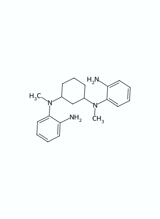 CN(c1ccccc1N)C1CCCC(N(C)c2ccccc2N)C1